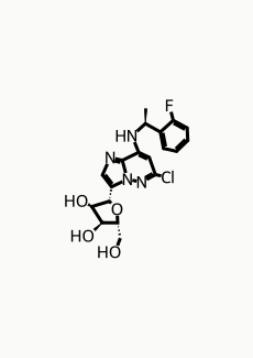 C[C@H](Nc1cc(Cl)nn2c([C@@H]3O[C@H](CO)[C@@H](O)[C@H]3O)cnc12)c1ccccc1F